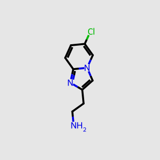 NCCc1cn2cc(Cl)ccc2n1